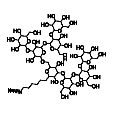 [N-]=[N+]=NCCCCCCC1OC(COC2OC(OC3OC(CO)C(O)C(O)C3OC3OC(CO)C(O)C(O)C3O)C(O)C(OC3OC(CO)C(O)C(O)C3O)C2O)C(O)C(OC2OC(CO)C(O)C(O)C2OC2OC(CO)C(O)C(O)C2OC2OC(CO)C(O)C(O)C2O)C1O